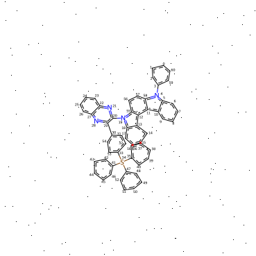 c1ccc(-n2c3ccccc3c3c4c5ccccc5n(-c5nc6ccccc6nc5-c5ccc(S(c6ccccc6)(c6ccccc6)c6ccccc6)cc5)c4ccc32)cc1